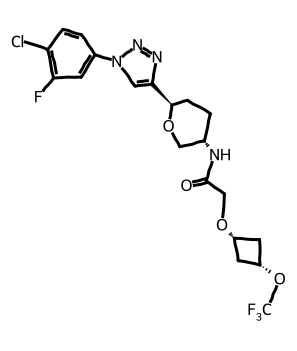 O=C(CO[C@H]1C[C@@H](OC(F)(F)F)C1)N[C@H]1CC[C@H](c2cn(-c3ccc(Cl)c(F)c3)nn2)OC1